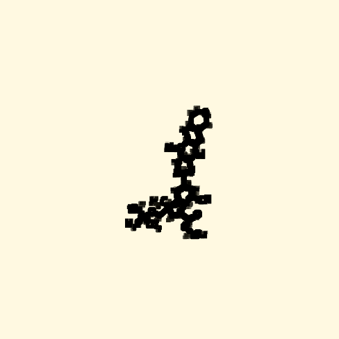 COc1nc2c(cc1Nc1ncnc(-c3cc(C#N)c4c(c3)[C@@](C)(CO[Si](C)(C)C(C)(C)C)CN4C(=O)OC(C)(C)C)n1)COCC2